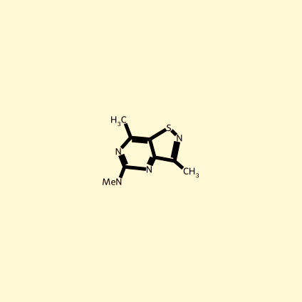 CNc1nc(C)c2snc(C)c2n1